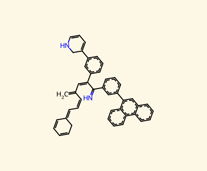 C=C(/C=C\C=C1\C=CC=CC1)/C=C(\C(=N)c1cccc(-c2cc3ccccc3c3ccccc23)c1)c1cccc(C2=CC=CNC2)c1